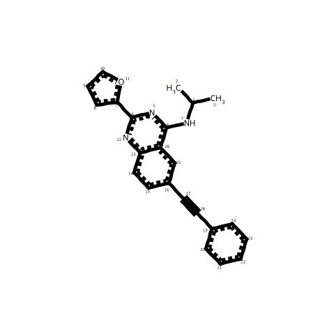 CC(C)Nc1nc(-c2ccco2)nc2ccc(C#Cc3ccccc3)cc12